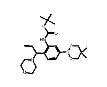 CCC(c1ccc(B2OCC(C)(C)CO2)cc1NC(=O)OC(C)(C)C)N1CCOCC1